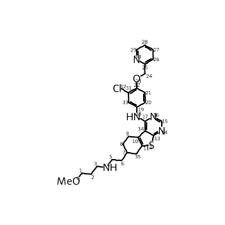 COCCCNCCC1CCc2c(sc3ncnc(Nc4ccc(OCc5ccccn5)c(Cl)c4)c23)C1